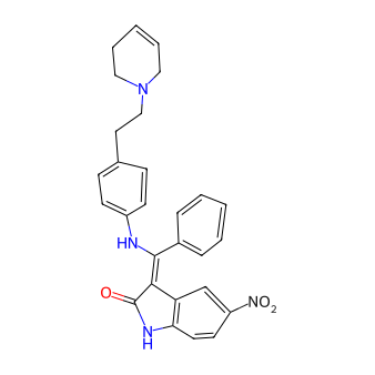 O=C1Nc2ccc([N+](=O)[O-])cc2/C1=C(/Nc1ccc(CCN2CC=CCC2)cc1)c1ccccc1